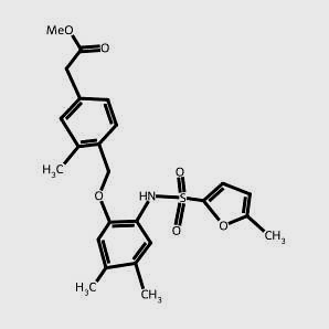 COC(=O)Cc1ccc(COc2cc(C)c(C)cc2NS(=O)(=O)c2ccc(C)o2)c(C)c1